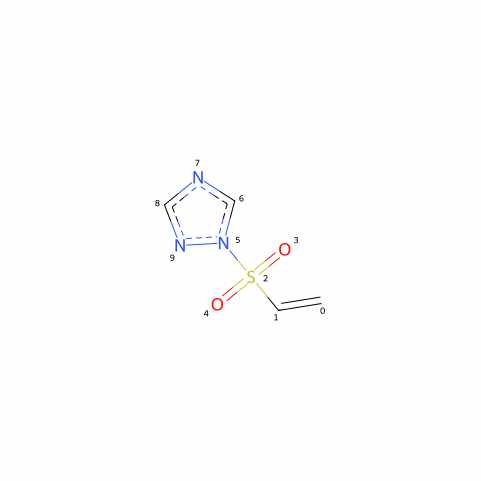 C=CS(=O)(=O)n1cncn1